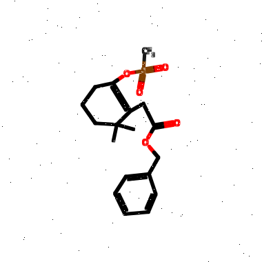 CC1(C)CCCC(OS(=O)(=O)C(F)(F)F)=C1CC(=O)OCc1ccccc1